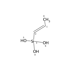 CC=C[Si](O)(O)O